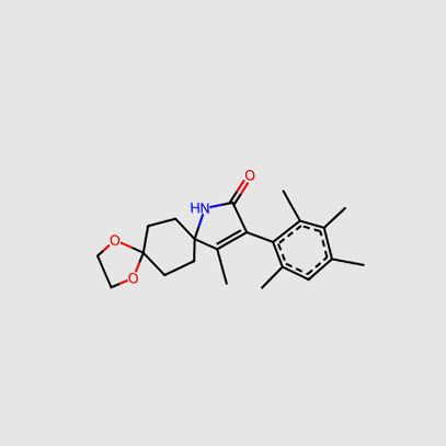 CC1=C(c2c(C)cc(C)c(C)c2C)C(=O)NC12CCC1(CC2)OCCO1